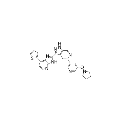 c1csc(-c2ccnc3[nH]c(-c4n[nH]c5cnc(-c6cncc(ON7CCCC7)c6)cc45)nc23)c1